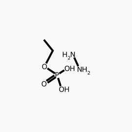 CCOP(=O)(O)O.NN